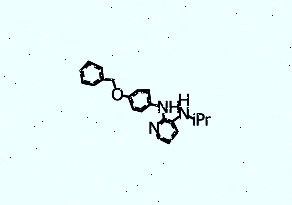 CC(C)Nc1cccnc1Nc1ccc(OCc2ccccc2)cc1